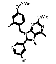 COc1nc(C)c2c(n1)N(Cc1ccc(OSC)cc1F)C(c1cncc(Br)c1)N2C